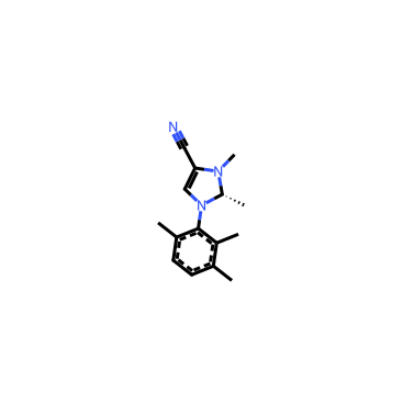 Cc1ccc(C)c(N2C=C(C#N)N(C)[C@@H]2C)c1C